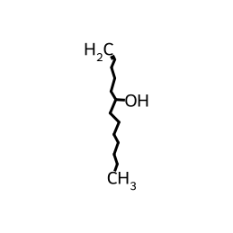 C=CCCCC(O)CCCCCCC